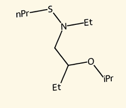 CCCSN(CC)CC(CC)OC(C)C